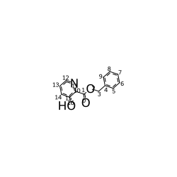 O=C(OCc1ccccc1)c1ncccc1O